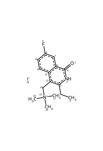 CCc1[nH]c(=O)c2cc(F)ccc2c1C[N+](C)(C)C.[I-]